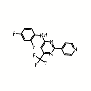 Fc1ccc(Nc2cc(C(F)(F)F)nc(-c3ccncc3)n2)c(F)c1